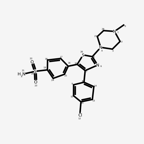 CN1CCN(c2nc(-c3ccc(Cl)cc3)c(-c3ccc(S(N)(=O)=O)cc3)s2)CC1